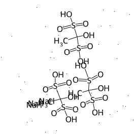 CC(O)(S(=O)(=O)O)S(=O)(=O)O.CC(O)(S(=O)(=O)O)S(=O)(=O)O.CC(O)(S(=O)(=O)O)S(=O)(=O)O.[NaH].[NaH].[NaH]